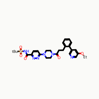 CCOc1cncc(-c2ccccc2CCC(=O)N2CCN(c3ccc(C(=O)NS(=O)(=O)C(C)(C)C)nn3)CC2)c1